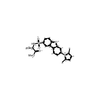 COC(=O)[C@H](NS(=O)(=O)c1ccc2oc3cc(-n4c(C)ccc4C)ccc3c2c1)C(C)C